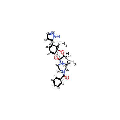 Cc1c(O[C@@H](C)C(=O)N2CCN(C(=O)c3ccccc3)C[C@H]2C)cccc1-c1ccn[nH]1